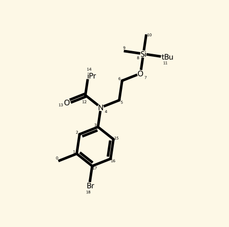 Cc1cc(N(CCO[Si](C)(C)C(C)(C)C)C(=O)C(C)C)ccc1Br